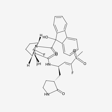 CS(=O)(=O)/C(F)=C/[C@@H](C[C@H]1CCNC1=O)NC(=O)[C@@H]1[C@@H]2CC[C@@H](CC2(F)F)N1C(=O)C1(O)c2ccccc2-c2ccccc21